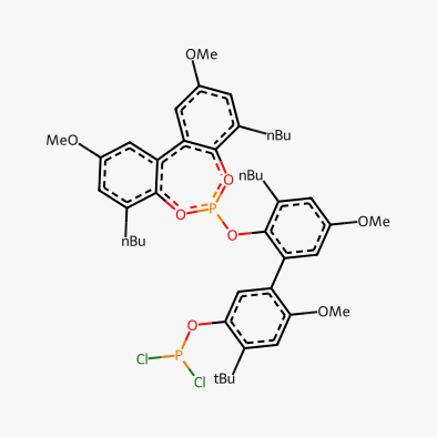 CCCCc1cc(OC)cc(-c2cc(OP(Cl)Cl)c(C(C)(C)C)cc2OC)c1Op1oc2c(CCCC)cc(OC)cc2c2cc(OC)cc(CCCC)c2o1